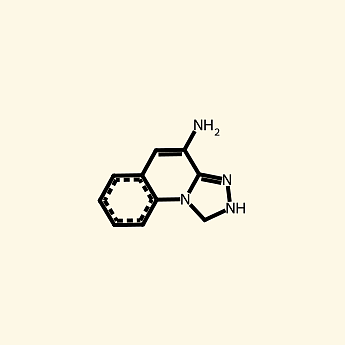 NC1=Cc2ccccc2N2CNN=C12